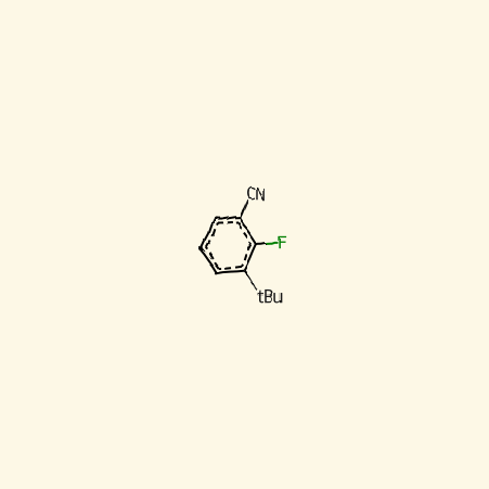 CC(C)(C)c1cccc(C#N)c1F